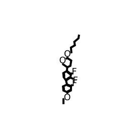 CCCCCCOC1CCC(c2ccc(-c3ccc(OCC)cc3F)c(F)c2F)CO1